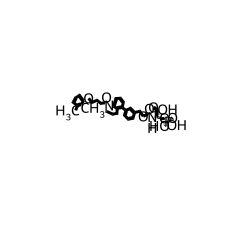 Cc1cccc(OCCCC(=O)N2CCCc3c(-c4cccc(COC(=O)N[C@@H](COP(=O)(O)O)C(=O)O)c4)cccc32)c1C